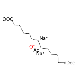 CC(=O)[O-].CCCCCCCCCCCCCCCCCCCCCC(=O)[O-].[Na+].[Na+]